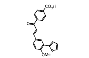 COc1ccc(/C=C/C(=O)c2ccc(C(=O)O)cc2)cc1-c1cccs1